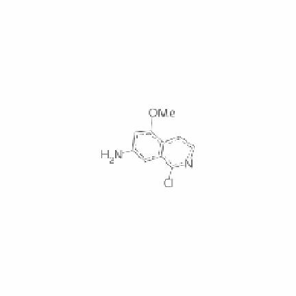 COc1cc(N)cc2c(Cl)nccc12